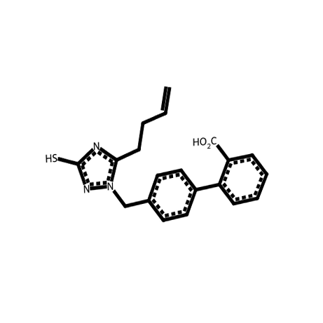 C=CCCc1nc(S)nn1Cc1ccc(-c2ccccc2C(=O)O)cc1